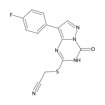 N#CCSc1nc2c(-c3ccc(F)cc3)cnn2c(=O)[nH]1